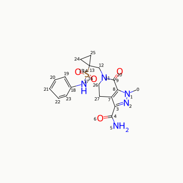 Cn1nc(C(N)=O)c2c1C(=O)N(CC1(S(=O)(=O)Nc3ccccc3)CC1)CC2